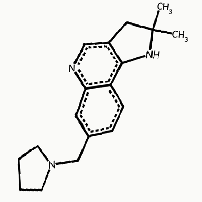 CC1(C)Cc2cnc3cc(CN4CCCC4)ccc3c2N1